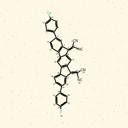 [C-]#[N+]/C(C#N)=C1/c2cc(-c3ccc(F)cc3)ccc2-c2cc3c(cc21)/C(=C(\C#N)[N+]#[C-])c1cc(-c2ccc(F)cc2)ccc1-3